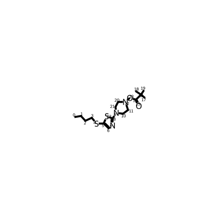 CCCCSc1cnc(N2CCN(OC(=O)C(C)(C)C)CC2)s1